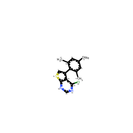 COc1cc(C)c(-c2csc3ncnc(Cl)c23)c(C)c1